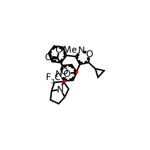 COC(=O)c1cccc(N2C3CCC2CC(OCc2c(-c4ccccc4OC(F)(F)F)noc2C2CC2)C3)n1